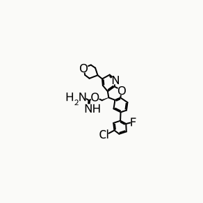 N=C(N)OC[C@@H]1c2cc(-c3cc(Cl)ccc3F)ccc2Oc2ncc(C3CCOCC3)cc21